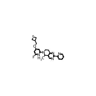 CC1c2cnc(-c3ccccn3)nc2CCN1c1cc(OCC2CSC2)cc(F)n1